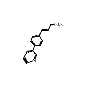 O=C(O)C/C=C/c1ccc(-c2cccnc2)cc1